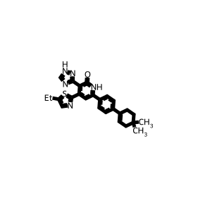 CCc1cnc(-c2cc(-c3ccc(C4=CCC(C)(C)CC4)cc3)[nH]c(=O)c2-c2nc[nH]n2)s1